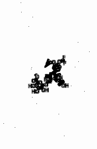 COC(=O)[C@H]1O[C@@H](Oc2ccc(C[C@H](c3ccc(C(C)(C)O)nc3)c3ccc(OC(F)F)c(OC4CC4)c3)cn2)[C@H](O)[C@@H](O)[C@@H]1O